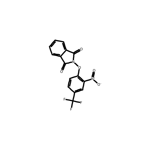 O=C1c2ccccc2C(=O)N1Oc1ccc(C(F)(F)F)cc1[N+](=O)[O-]